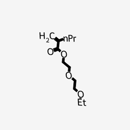 C=C(CCC)C(=O)OCCOCCOCC